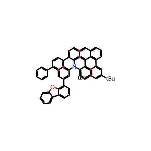 CC(C)(C)c1cc(-c2cccc3cccc(-c4ccccc4N(c4cccc(-c5cccc6c5oc5ccccc56)c4)c4ccccc4-c4ccc(-c5ccccc5)cc4)c23)cc(C(C)(C)C)c1